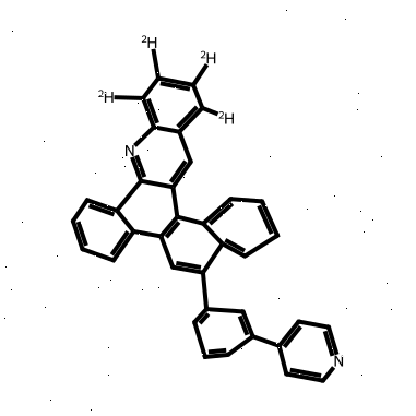 [2H]c1c([2H])c([2H])c2nc3c4ccccc4c4cc(-c5cccc(-c6ccncc6)c5)c5ccccc5c4c3cc2c1[2H]